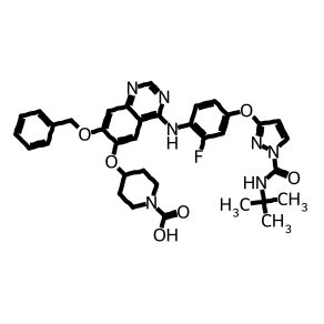 CC(C)(C)NC(=O)n1ccc(Oc2ccc(Nc3ncnc4cc(OCc5ccccc5)c(OC5CCN(C(=O)O)CC5)cc34)c(F)c2)n1